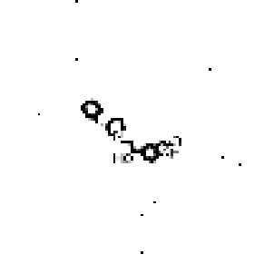 O=C1Cc2cc(C(O)CCN3CCC[C@@H](Cc4ccccc4)C3)ccc2N1